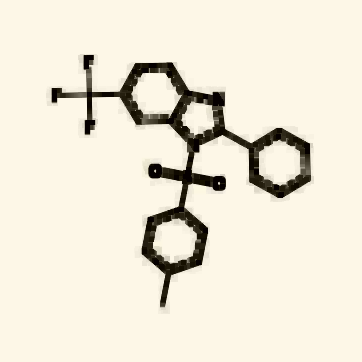 Cc1ccc(S(=O)(=O)n2c(-c3ccccc3)nc3ccc(C(F)(F)F)cc32)cc1